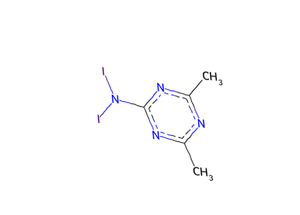 Cc1nc(C)nc(N(I)I)n1